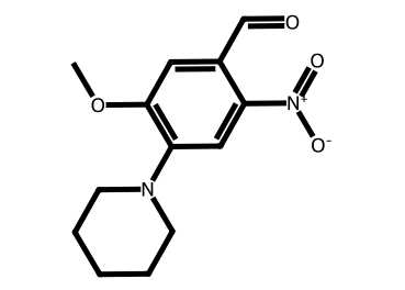 COc1cc(C=O)c([N+](=O)[O-])cc1N1CCCCC1